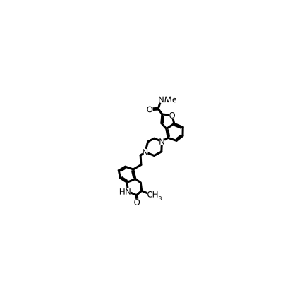 CNC(=O)c1cc2c(N3CCN(CCc4cccc5c4CC(C)C(=O)N5)CC3)cccc2o1